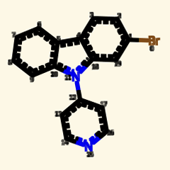 Brc1ccc2c3ccccc3n(-c3ccncc3)c2c1